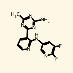 Cc1nc(N)nc(-c2cccnc2Nc2cnc(F)c(F)c2)n1